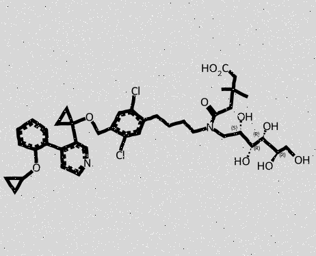 CC(C)(CC(=O)O)CC(=O)N(CCCCc1cc(Cl)c(COC2(c3cnccc3-c3ccccc3OC3CC3)CC2)cc1Cl)C[C@H](O)[C@@H](O)[C@H](O)[C@H](O)CO